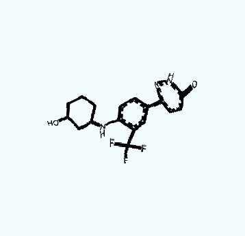 O=c1ccc(-c2ccc(NC3CCCC(O)C3)c(C(F)(F)F)c2)n[nH]1